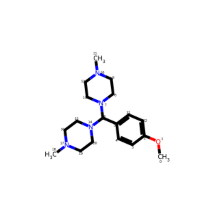 COc1ccc(C(N2CCN(C)CC2)N2CCN(C)CC2)cc1